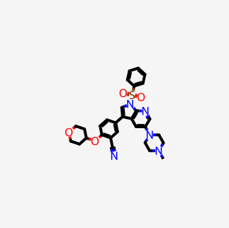 CN1CCN(c2cnc3c(c2)c(-c2ccc(OC4CCOCC4)c(C#N)c2)cn3S(=O)(=O)c2ccccc2)CC1